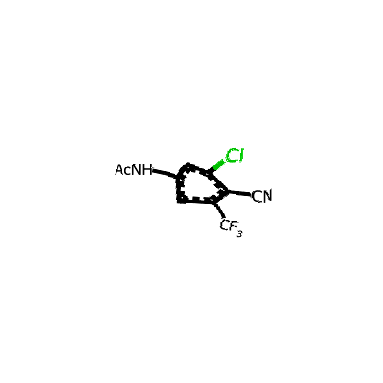 CC(=O)Nc1cc(Cl)c(C#N)c(C(F)(F)F)c1